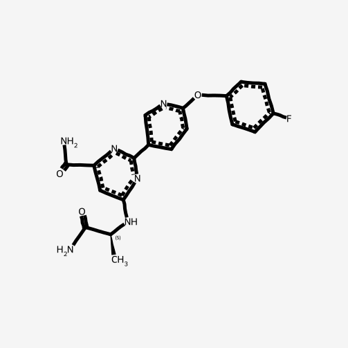 C[C@H](Nc1cc(C(N)=O)nc(-c2ccc(Oc3ccc(F)cc3)nc2)n1)C(N)=O